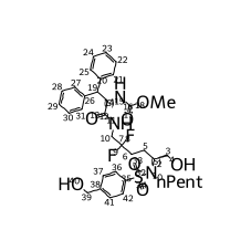 CCCCCN([C@H](CO)CCC(F)(F)CNC(=O)[C@@H](NC(=O)OC)C(c1ccccc1)c1ccccc1)S(=O)(=O)c1ccc(CO)cc1